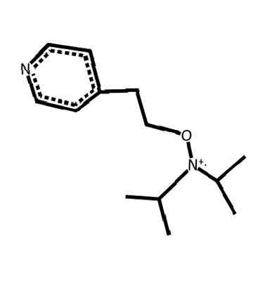 CC(C)[N+](OCCc1ccncc1)C(C)C